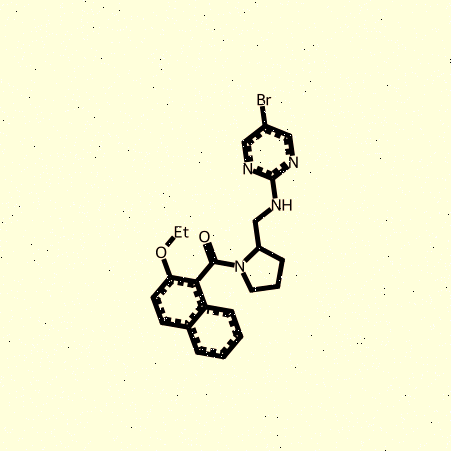 CCOc1ccc2ccccc2c1C(=O)N1CCCC1CNc1ncc(Br)cn1